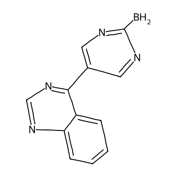 Bc1ncc(-c2ncnc3ccccc23)cn1